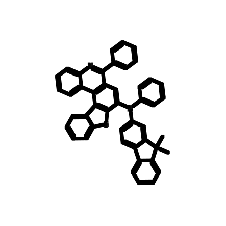 CC1(C)c2ccccc2-c2ccc(N(c3ccccc3)c3cc4c(-c5ccccc5)nc5ccccc5c4c4c3sc3ccccc34)cc21